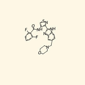 O=C(Nc1csnc1-c1nc2cc(CN3CCOCC3)ccc2[nH]1)c1c(F)cccc1F